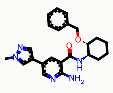 Cn1cc(-c2cnc(N)c(C(=O)N[C@@H]3CCCC[C@H]3OCc3ccccc3)c2)cn1